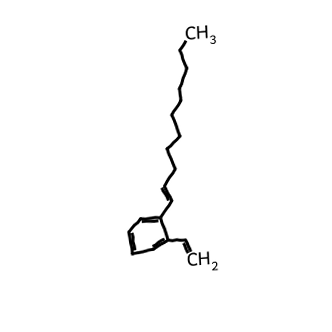 C=Cc1ccccc1C=CCCCCCCCCC